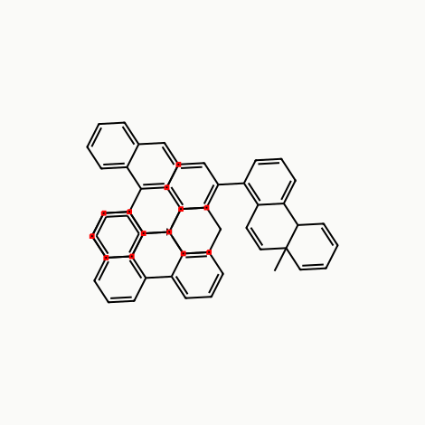 CC12C=CC=CC1c1cccc(-c3cccc(N(c4ccccc4-c4cccc5ccccc45)c4ccccc4-c4cccc5cccc(C6CCCCC6)c45)c3)c1C=C2